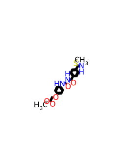 COC(=O)COc1ccc(NC(=O)NC(=O)c2ccc(C(=N)SC)cc2)cc1